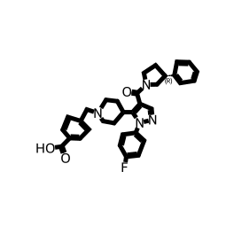 O=C(O)c1ccc(CN2CCC(c3c(C(=O)N4CC[C@H](c5ccccc5)C4)cnn3-c3ccc(F)cc3)CC2)cc1